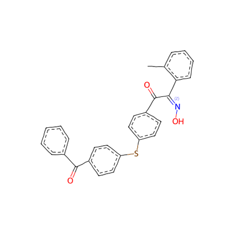 Cc1ccccc1/C(=N/O)C(=O)c1ccc(Sc2ccc(C(=O)c3ccccc3)cc2)cc1